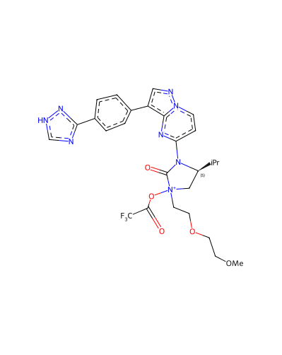 COCCOCC[N+]1(OC(=O)C(F)(F)F)C[C@H](C(C)C)N(c2ccn3ncc(-c4ccc(-c5nc[nH]n5)cc4)c3n2)C1=O